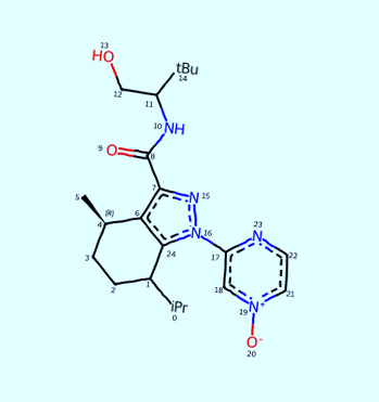 CC(C)C1CC[C@@H](C)c2c(C(=O)NC(CO)C(C)(C)C)nn(-c3c[n+]([O-])ccn3)c21